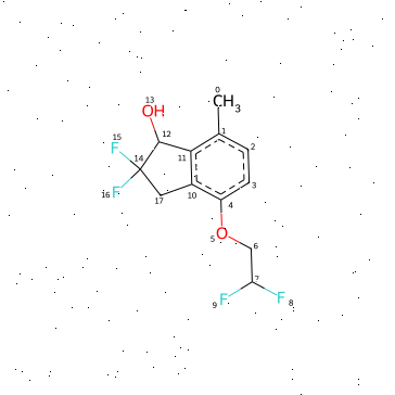 Cc1ccc(OCC(F)F)c2c1C(O)C(F)(F)C2